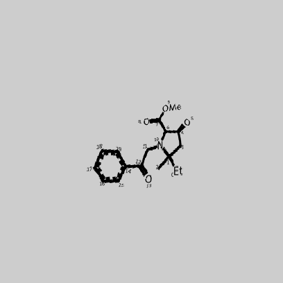 CCC1(C)CC(=O)C(C(=O)OC)N1CC(=O)c1ccccc1